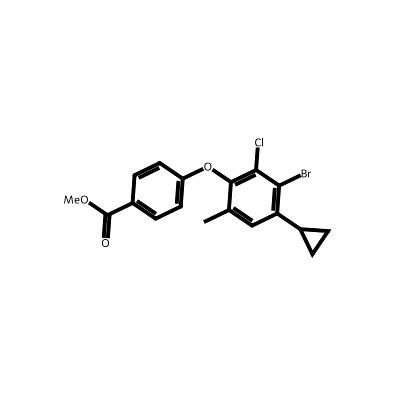 COC(=O)c1ccc(Oc2c(C)cc(C3CC3)c(Br)c2Cl)cc1